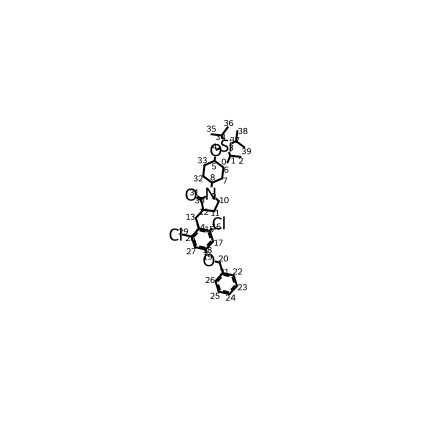 CC(C)[Si](OC1CCC(N2CCC(Cc3c(Cl)cc(OCc4ccccc4)cc3Cl)C2=O)CC1)(C(C)C)C(C)C